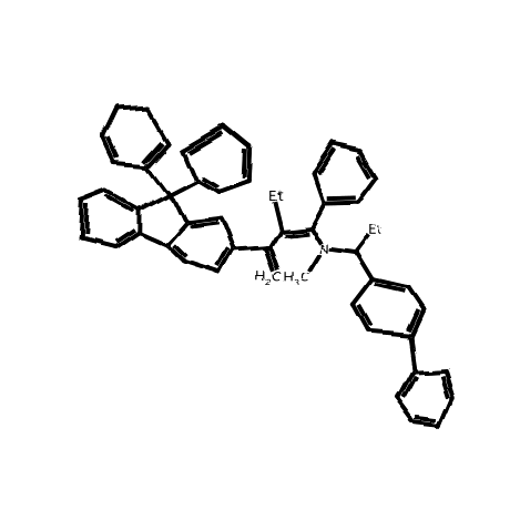 C=C(/C(CC)=C(/c1ccccc1)N(C)C(CC)c1ccc(-c2ccccc2)cc1)c1ccc2c(c1)C(C1=CCCC=C1)(c1ccccc1)c1ccccc1-2